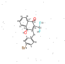 O=C1C(Cc2ccc(Br)cc2)=C(C(F)F)C(=O)c2ccccc21